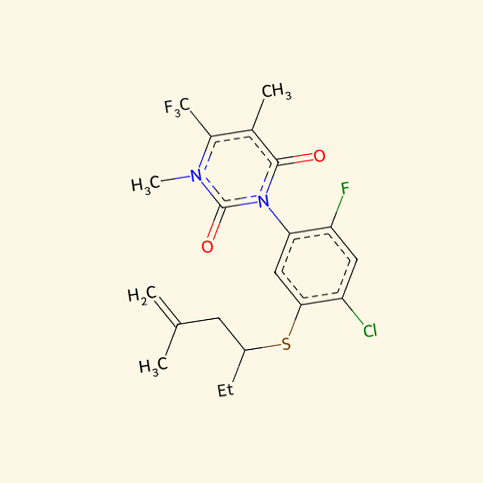 C=C(C)CC(CC)Sc1cc(-n2c(=O)c(C)c(C(F)(F)F)n(C)c2=O)c(F)cc1Cl